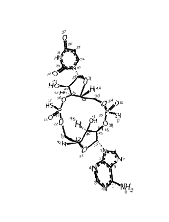 Nc1ncnc2c1ncn2[C@@H]1O[C@@H]2COP(=O)(S)O[C@H]3[C@@H](O)[C@H](n4ccc(=O)[nH]c4=O)O[C@@H]3COP(=O)(S)O[C@@H]1[C@@H]2O